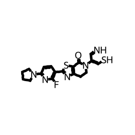 N=C/C(=C\S)N1CCc2nc(-c3ccc(N4CCCC4)nc3F)sc2C1=O